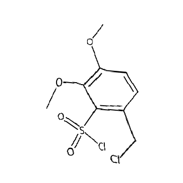 COc1ccc(CCl)c(S(=O)(=O)Cl)c1OC